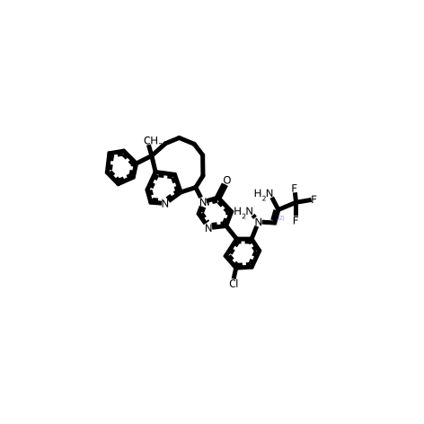 CC1(c2ccccc2)CCCCCC(n2cnc(-c3cc(Cl)ccc3N(N)/C=C(\N)C(F)(F)F)cc2=O)c2cc1ccn2